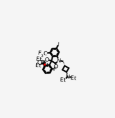 CCN(CC)[C@H]1C[C@H](CN2C(=O)C(O[Si](CC)(CC)CC)(c3c(F)cccc3Cl)c3c2cc(I)cc3C(F)(F)F)C1